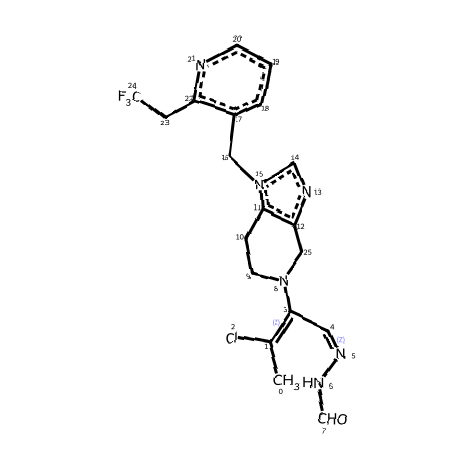 C/C(Cl)=C(\C=N/NC=O)N1CCc2c(ncn2Cc2cccnc2CC(F)(F)F)C1